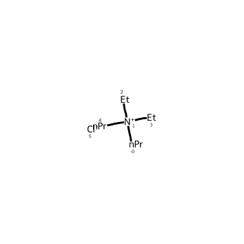 CCC[N+](CC)(CC)CCC.[Cl-]